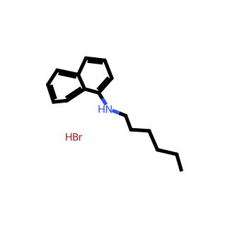 Br.CCCCCCNc1cccc2ccccc12